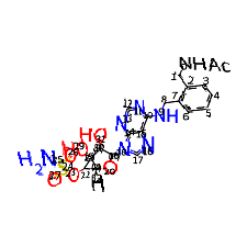 CC(=O)NCc1ccccc1CNc1ncnc2c1ncn2[C@@H]1O[C@@H]2C(OS(N)(=O)=O)[C@]2(O)[C@H]1O